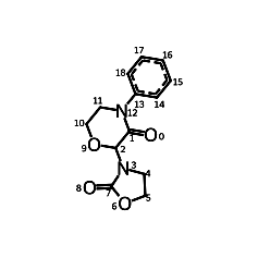 O=C1C(N2CCOC2=O)OCCN1c1ccccc1